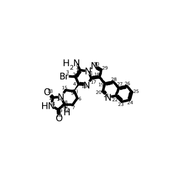 Nc1c(Br)c([C@H]2CC[C@@H]3C(=O)NC(=O)N3C2)nc2c(-c3cnc4ccccc4c3)cnn12